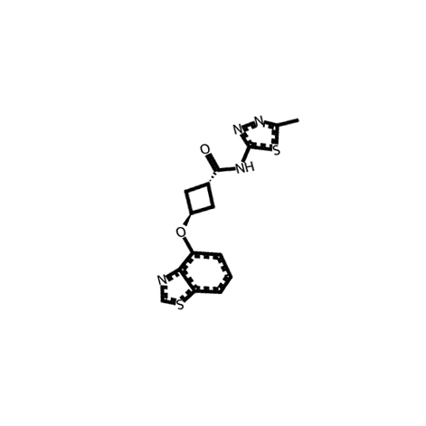 Cc1nnc(NC(=O)[C@H]2C[C@H](Oc3cccc4scnc34)C2)s1